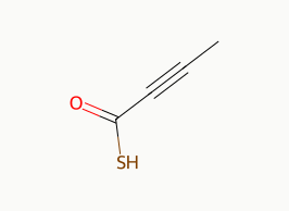 CC#CC(=O)S